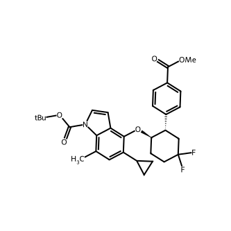 COC(=O)c1ccc([C@@H]2CC(F)(F)CC[C@H]2Oc2c(C3CC3)cc(C)c3c2ccn3C(=O)OC(C)(C)C)cc1